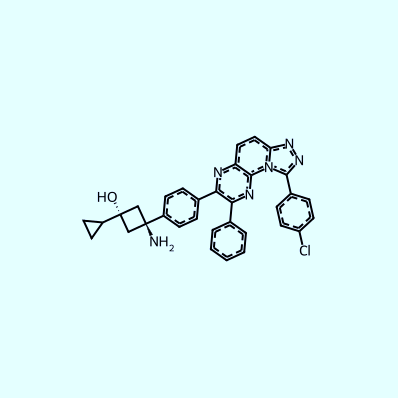 N[C@]1(c2ccc(-c3nc4ccc5nnc(-c6ccc(Cl)cc6)n5c4nc3-c3ccccc3)cc2)C[C@](O)(C2CC2)C1